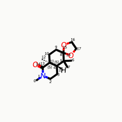 CN1CC[C@H]2C(C)(C)C3(CC[C@]2(C)C1=O)OCCO3